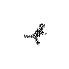 COc1cc(CC(C)NC(=O)OCc2ccccc2)c(OC)cc1CCCCCF